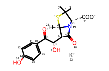 CC1(C)S[C@@H]2[C@H]([C@H](O)C(=O)c3ccc(O)cc3)C(=O)N2[C@H]1C(=O)[O-].[K+]